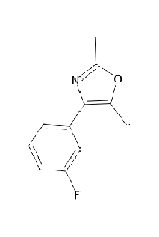 [CH2]c1oc(C)nc1-c1cccc(F)c1